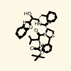 CC(C)[C@H](NC(=O)OC(C)(C)C)C(=O)N1C(c2ccccc2)SC[C@H]1C(=O)N[C@@H](Cc1ccccc1)C(O)c1nc2ccccc2o1